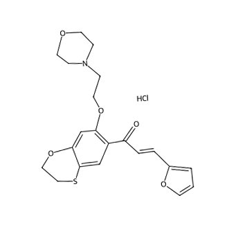 Cl.O=C(C=Cc1ccco1)c1cc2c(cc1OCCN1CCOCC1)OCCS2